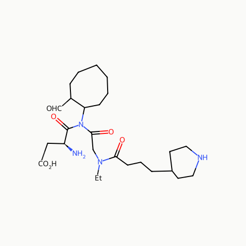 CCN(CC(=O)N(C(=O)[C@@H](N)CC(=O)O)C1CCCCCCC1C=O)C(=O)CCCC1CCNCC1